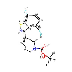 CC(C)(C)OC(=O)N1CCC=C(c2nsc3c(F)ccc(F)c23)C1